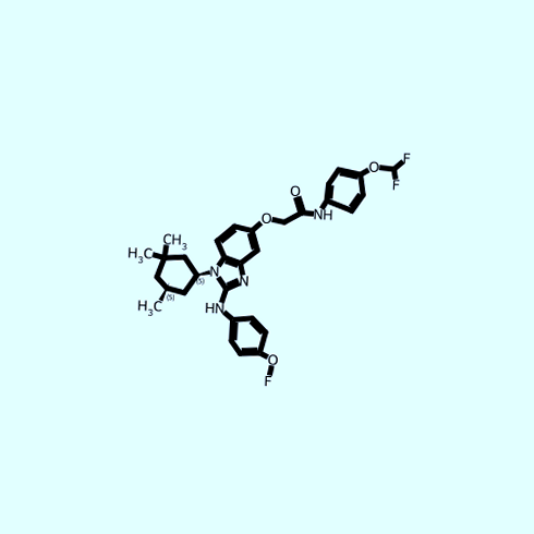 C[C@@H]1C[C@H](n2c(Nc3ccc(OF)cc3)nc3cc(OCC(=O)Nc4ccc(OC(F)F)cc4)ccc32)CC(C)(C)C1